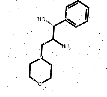 NC(CN1CCOCC1)[C@H](O)c1ccccc1